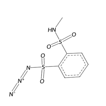 CNS(=O)(=O)c1ccccc1S(=O)(=O)N=[N+]=[N-]